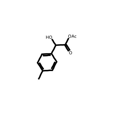 CC(=O)OC(=O)C(O)c1ccc(C)cc1